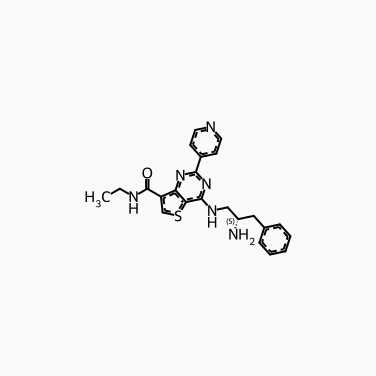 CCNC(=O)c1csc2c(NC[C@@H](N)Cc3ccccc3)nc(-c3ccncc3)nc12